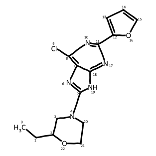 CCC1CN(c2nc3c(Cl)nc(-c4ccco4)nc3[nH]2)CCO1